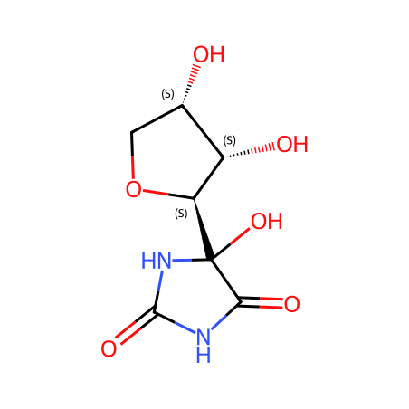 O=C1NC(=O)C(O)([C@H]2OC[C@H](O)[C@@H]2O)N1